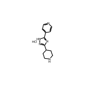 Cl.c1cc(-c2nc(C3CCNCC3)n[nH]2)ccn1